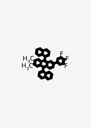 Cc1cc2c(-c3cccc4ccccc34)c3ccc(-c4cc(F)c(F)c(F)c4)cc3c(-c3cccc4ccccc34)c2cc1C